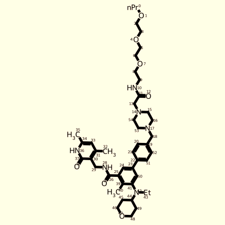 CCCOCCOCCOCCNC(=O)CN1CCN(Cc2ccc(-c3cc(C(=O)NCc4c(C)cc(C)[nH]c4=O)c(C)c(N(CC)C4CCOCC4)c3)cc2)CC1